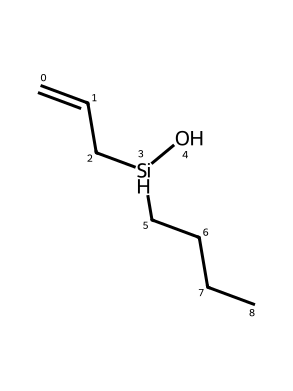 C=CC[SiH](O)CCCC